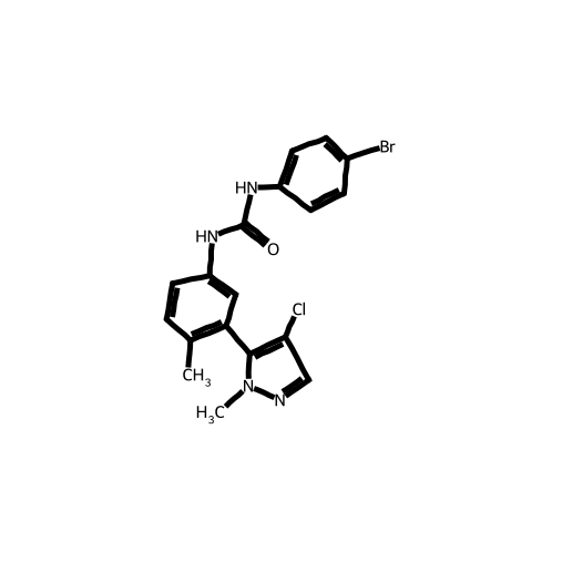 Cc1ccc(NC(=O)Nc2ccc(Br)cc2)cc1-c1c(Cl)cnn1C